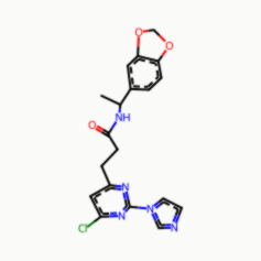 CC(NC(=O)CCc1cc(Cl)nc(-n2ccnc2)n1)c1ccc2c(c1)OCO2